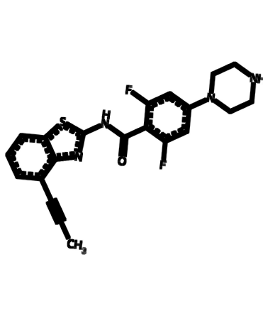 CC#Cc1cccc2sc(NC(=O)c3c(F)cc(N4CCNCC4)cc3F)nc12